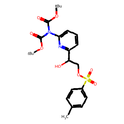 Cc1ccc(S(=O)(=O)OCC(O)c2cccc(N(C(=O)OC(C)(C)C)C(=O)OC(C)(C)C)n2)cc1